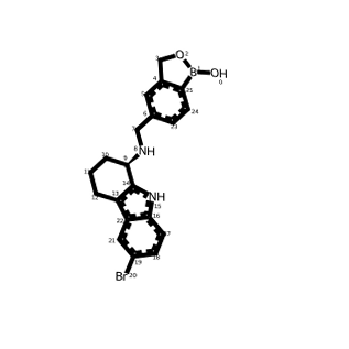 OB1OCc2cc(CN[C@@H]3CCCc4c3[nH]c3ccc(Br)cc43)ccc21